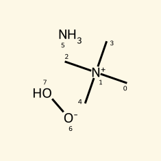 C[N+](C)(C)C.N.[O-]O